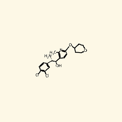 Cc1nc(OC2CCOCC2)ccc1[C@@H](O)[C@@H](N)c1ccc(Cl)c(Cl)c1